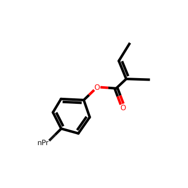 CC=C(C)C(=O)Oc1ccc(CCC)cc1